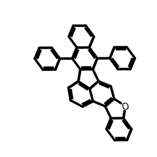 c1ccc(-c2c3c(c(-c4ccccc4)c4ccccc24)-c2cc4oc5ccccc5c4c4cccc-3c24)cc1